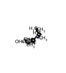 C=CC(C)(/C=C/c1ccc(PC(C)(C)CC(C)(C)C=O)cc1)CCC=C(C)C